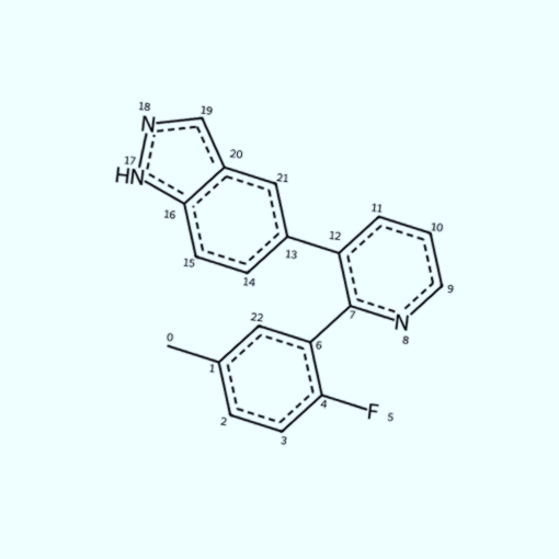 Cc1ccc(F)c(-c2ncccc2-c2ccc3[nH]ncc3c2)c1